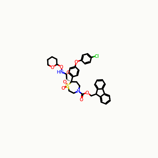 O=C(C[C@]1(c2ccc(Oc3ccc(Cl)cc3)cc2)CCN(C(=O)OCC2c3ccccc3-c3ccccc32)CCS1(=O)=O)NOC1CCCCO1